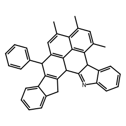 Cc1cc(C)c2c(C)cc3c4c2c1C1C(=Nc2ccccc21)C4C1=C(c2ccccc2C1)C3c1ccccc1